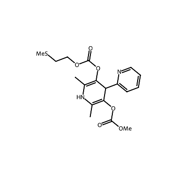 COC(=O)OC1=C(C)NC(C)=C(OC(=O)OCCSC)C1c1ccccn1